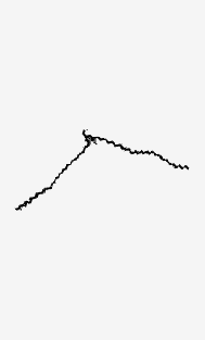 [CH2]Cc1cc(CCCCCCCCCCCCCCCCCCCCCCCCCCCC)nc(CCCCCCCCCCCCCCCCCCCCCCCCCCCC)c1